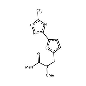 CNC(=O)N(Cc1ccc(-c2noc(C(F)(F)F)n2)s1)OC